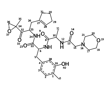 Cc1ccc(CC(NC(=O)C(C)NC(=O)CN2CCOCC2)C(=O)NC(CC2=CCCC2)C(=O)C2(C)CO2)cc1O